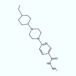 CCC1CCC(N2CCN(c3ccc(C(=O)NN)cn3)CC2)CC1